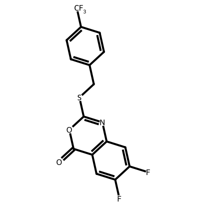 O=c1oc(SCc2ccc(C(F)(F)F)cc2)nc2cc(F)c(F)cc12